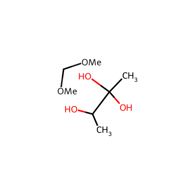 CC(O)C(C)(O)O.COCOC